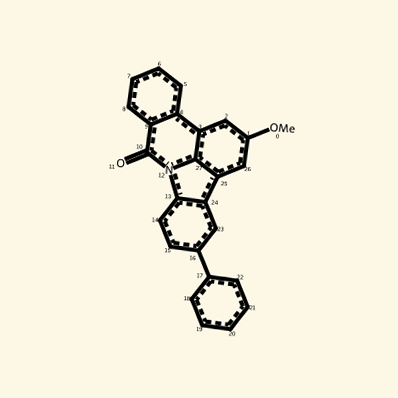 COc1cc2c3ccccc3c(=O)n3c4ccc(-c5ccccc5)cc4c(c1)c23